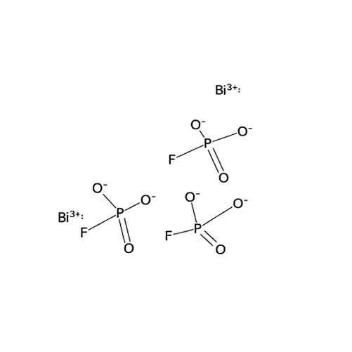 O=P([O-])([O-])F.O=P([O-])([O-])F.O=P([O-])([O-])F.[Bi+3].[Bi+3]